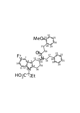 CCC(C(=O)O)n1c2c(c3cc(F)ccc31)C[C@@H](N(CCc1ccccc1)C(=O)CCc1ccccc1OC)CC2